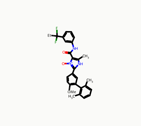 CCC(F)(F)c1cccc(NC(=O)c2c(C)[nH]c(-c3ccc(OC)c(-c4c(C)cccc4C)c3)[n+]2[O-])c1